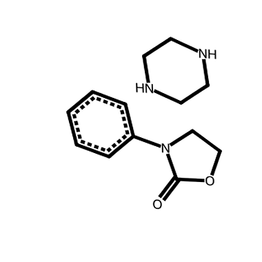 C1CNCCN1.O=C1OCCN1c1ccccc1